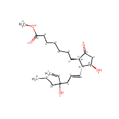 C=CC(O)(CC=C[C@H]1[C@H](O)CC(=O)[C@@H]1CCCCCCC(=O)OC)CCC